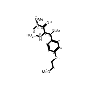 COCCOc1ccc([C@@H](C(NC(=O)O)C(=O)N(C)OC)C(C)(C)C)cc1